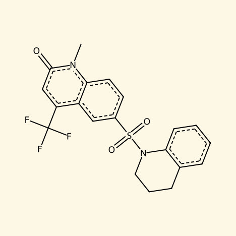 Cn1c(=O)cc(C(F)(F)F)c2cc(S(=O)(=O)N3CCCc4ccccc43)ccc21